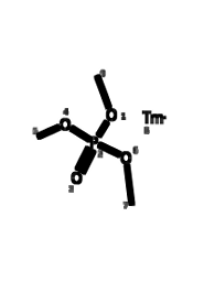 COP(=O)(OC)OC.[Tm]